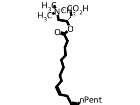 CCCCC/C=C\C/C=C\CCCCCCCC(=O)O[C@@H](CC(=O)O)C[N+](C)(C)C